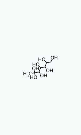 CC(O)(O)C(O)C(O)C(O)C(O)CO